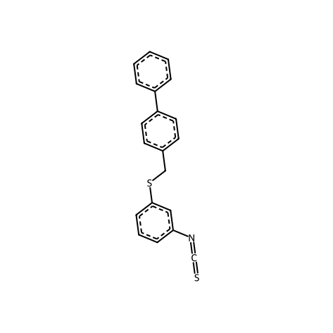 S=C=Nc1cccc(SCc2ccc(-c3ccccc3)cc2)c1